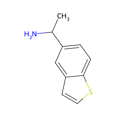 CC(N)c1ccc2sccc2c1